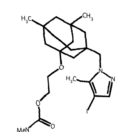 CNC(=O)OCCOC12CC3(C)CC(C)(CC(Cn4ncc(I)c4C)(C3)C1)C2